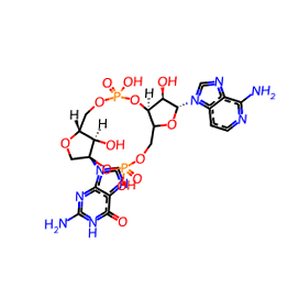 Nc1nc2c(ncn2[C@]23CO[C@H](COP(=O)(O)O[C@@H]4C(COP(=O)(O)O2)O[C@@H](n2cnc5c(N)nccc52)[C@@H]4O)[C@H]3O)c(=O)[nH]1